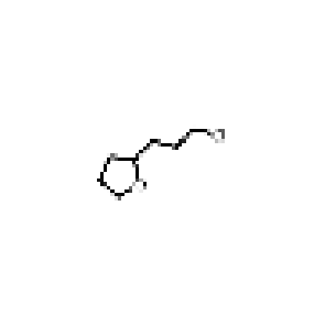 ClCCCC1CCCO1